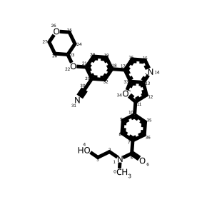 CN(CCO)C(=O)c1ccc(-c2cc3nccc(-c4ccc(OC5CCOCC5)c(C#N)c4)c3o2)cc1